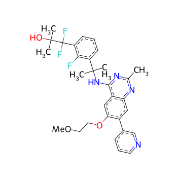 COCCOc1cc2c(NC(C)(C)c3cccc(C(F)(F)C(C)(C)O)c3F)nc(C)nc2cc1-c1cccnc1